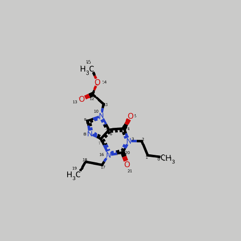 CCCn1c(=O)c2c(ncn2CC(=O)OC)n(CCC)c1=O